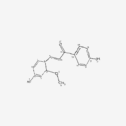 COC1C=C(O)C=CC1C=CC(=O)c1ccc(O)cc1